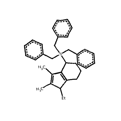 CCC1C(C)=C(C)C2=C1CCC[CH]2[Ti]([CH2]c1ccccc1)([CH2]c1ccccc1)[CH2]c1ccccc1